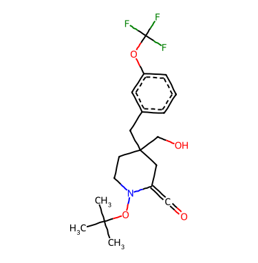 CC(C)(C)ON1CCC(CO)(Cc2cccc(OC(F)(F)F)c2)CC1=C=O